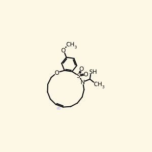 COc1ccc2c(c1)OCCCC/C=C\CCCCN(C(C)S)S2(=O)=O